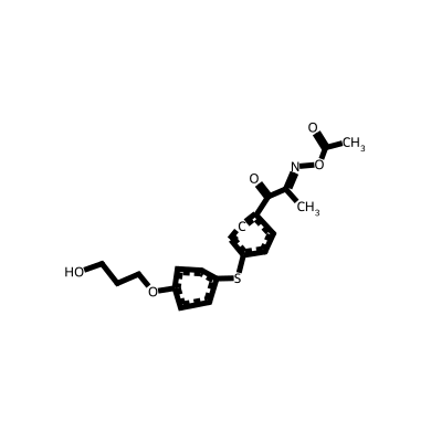 CC(=O)O/N=C(\C)C(=O)c1ccc(Sc2ccc(OCCCO)cc2)cc1